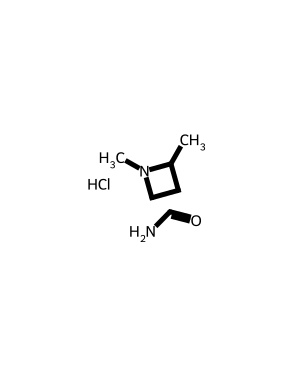 CC1CCN1C.Cl.NC=O